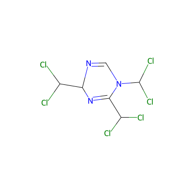 ClC(Cl)C1=NC(C(Cl)Cl)N=CN1C(Cl)Cl